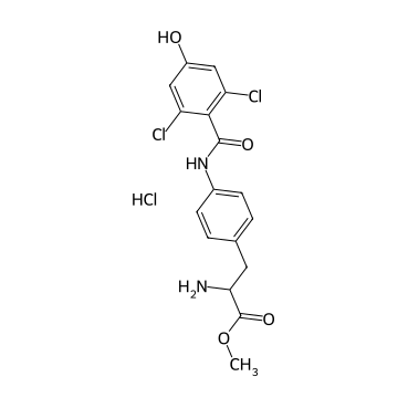 COC(=O)C(N)Cc1ccc(NC(=O)c2c(Cl)cc(O)cc2Cl)cc1.Cl